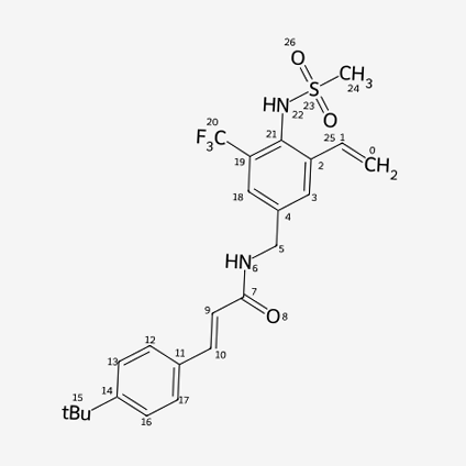 C=Cc1cc(CNC(=O)/C=C/c2ccc(C(C)(C)C)cc2)cc(C(F)(F)F)c1NS(C)(=O)=O